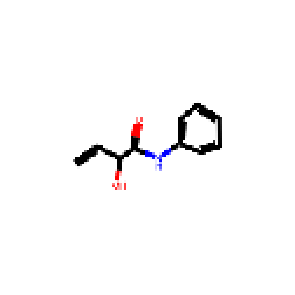 C=C[C](O)C(=O)Nc1ccccc1